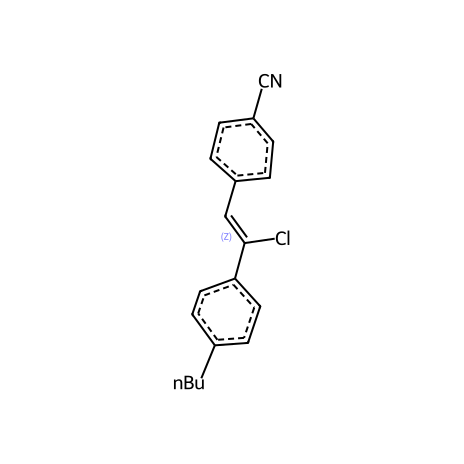 CCCCc1ccc(/C(Cl)=C/c2ccc(C#N)cc2)cc1